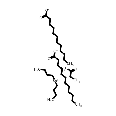 CCC(C)=O.CCCCCCCCCCCC(=O)[O-].CCCCCCCCCCCC(=O)[O-].CCC[CH2][Sn+2][CH2]CCC